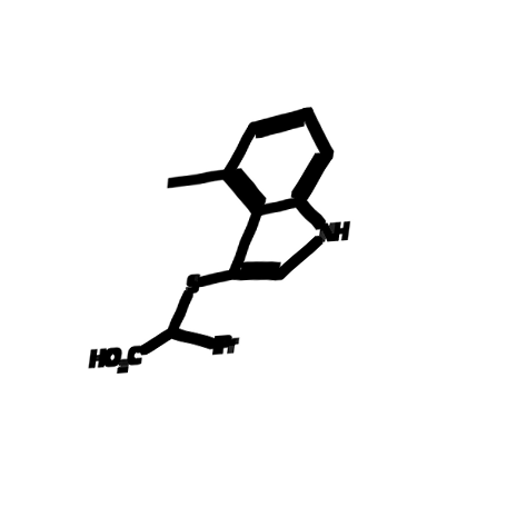 Cc1cccc2[nH]cc(SC(C(=O)O)C(C)C)c12